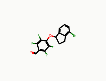 O=Cc1c(F)c(F)c(OC2CCc3c(Br)cccc32)c(F)c1F